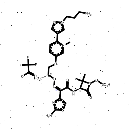 C[n+]1cc(OC[C@H](O/N=C(\C(=O)N[C@@H]2C(=O)N(OS(=O)(=O)O)C2(C)C)c2csc(N)n2)C(=O)O)ccc1-c1cnn(CCCN)c1.O=C([O-])C(F)(F)F